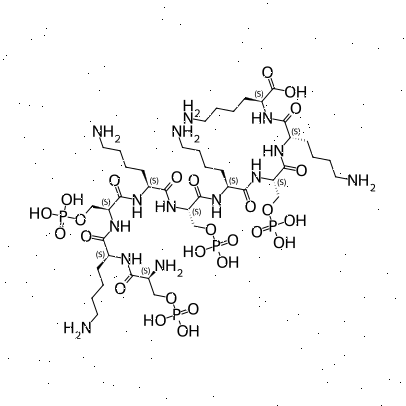 NCCCC[C@H](NC(=O)[C@H](CCCCN)NC(=O)[C@H](COP(=O)(O)O)NC(=O)[C@H](CCCCN)NC(=O)[C@H](COP(=O)(O)O)NC(=O)[C@H](CCCCN)NC(=O)[C@H](COP(=O)(O)O)NC(=O)[C@H](CCCCN)NC(=O)[C@@H](N)COP(=O)(O)O)C(=O)O